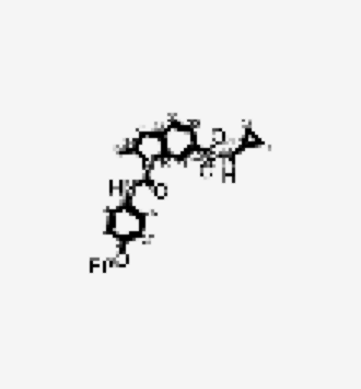 CCOc1ccc(NC(=O)N2c3cc(S(=O)(=O)NC4CC4)ccc3CC2C)cc1